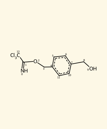 N=C(OCc1ccc(CO)cc1)C(Cl)(Cl)Cl